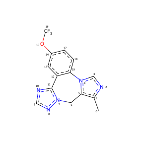 Cc1ncn2c1Cn1ncnc1-c1cc(OC(F)(F)F)ccc1-2